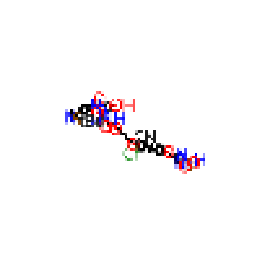 Cc1ncsc1-c1ccc(CNC(=O)[C@@H]2C[C@@H](O)CN2C(=O)[C@@H](NC(=O)COCCCCCOc2c(Cl)cc(C(C)(C)c3ccc(OCc4cnc(NS(C)(=O)=O)nc4)cc3)cc2C#N)C(C)(C)C)cc1